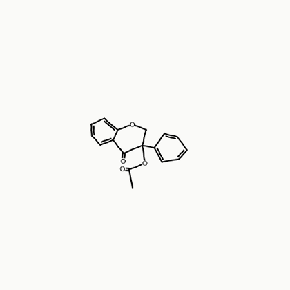 CC(=O)OC1(c2ccccc2)COc2ccccc2C1=O